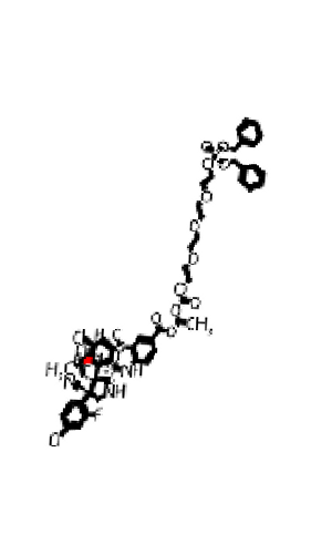 COc1cc(C(=O)OC(C)OC(=O)OCCOCCOCCOCCOP(=O)(OCc2ccccc2)OCc2ccccc2)ccc1NC(=O)[C@@H]1NC[C@](C#N)(c2ccc(Cl)cc2F)[C@@]1(CC(C)(C)C)c1cccc(Cl)c1F